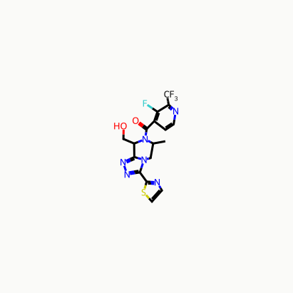 CC1Cn2c(-c3nccs3)nnc2C(CO)N1C(=O)c1ccnc(C(F)(F)F)c1F